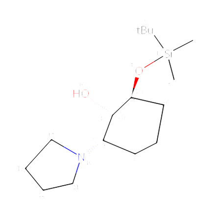 CC(C)(C)[Si](C)(C)O[C@H]1CCC[C@H](N2CCCC2)[C@@H]1O